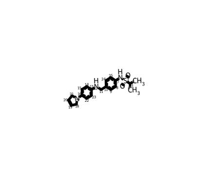 CC(C)S(=O)(=O)Nc1ccc(CNc2ccc(N3CC=CC3)cc2)cc1